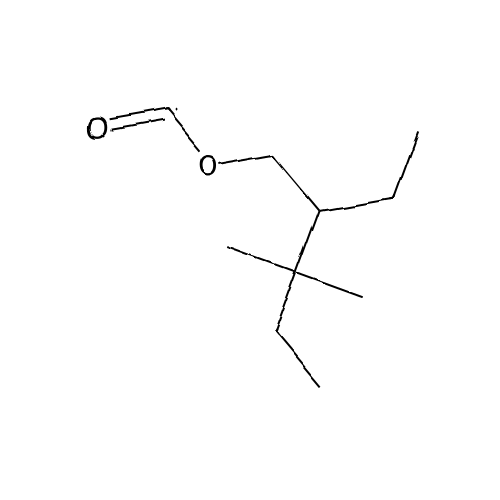 CCC(CO[C]=O)C(C)(C)CC